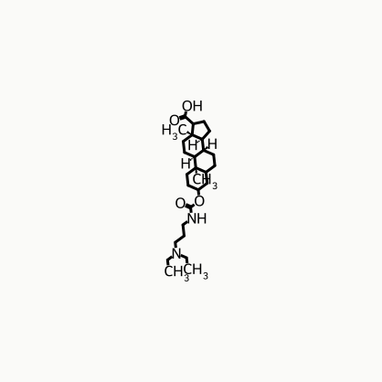 CCN(CC)CCCNC(=O)OC1CC[C@@]2(C)C(CC[C@@H]3[C@@H]2CC[C@]2(C)C(C(=O)O)CC[C@@H]32)C1